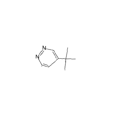 CC(C)(C)c1c[c]nnc1